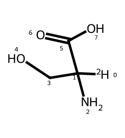 [2H]C(N)(CO)C(=O)O